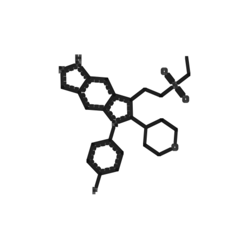 CCS(=O)(=O)CCc1c(C2CCOCC2)n(-c2ccc(F)cc2)c2cc3cn[nH]c3cc12